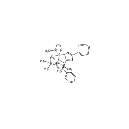 C[SiH](C)[Ti]([Cl])([Cl])([CH]1C=C(c2ccccc2)C=C1[Si](C)(C)C)[CH]1C=C(c2ccccc2)C=C1[Si](C)(C)C